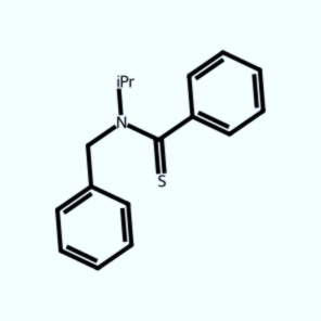 CC(C)N(Cc1ccccc1)C(=S)c1ccccc1